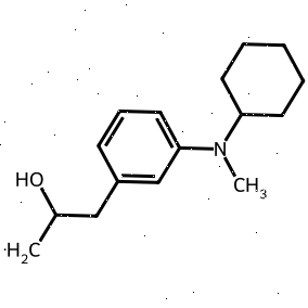 [CH2]C(O)Cc1cccc(N(C)C2CCCCC2)c1